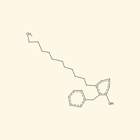 CCCCCCCCCCCCc1cccc(O)c1Cc1ccccc1